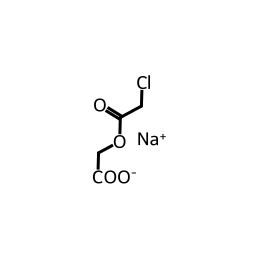 O=C([O-])COC(=O)CCl.[Na+]